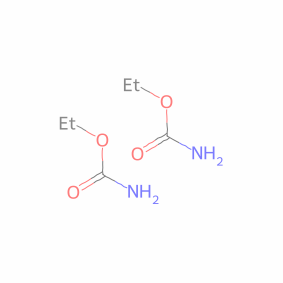 CCOC(N)=O.CCOC(N)=O